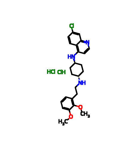 COc1cccc(CCN[C@H]2CC[C@H](Nc3ccnc4cc(Cl)ccc34)CC2)c1OC.Cl.Cl